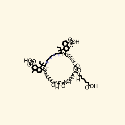 CCC1(C)C2=[N+](CCCCCC(=O)NCC(=O)NCCCCC(C(=O)NCCCCCC(=O)O)NC(=O)CCCCCN3/C(=C/C=C/C=C/C=C/2)C(C)(CC)c2c3ccc3c(S(=O)(=O)O)cccc23)c2ccc3c(C)cc(S(=O)(=O)O)cc3c21